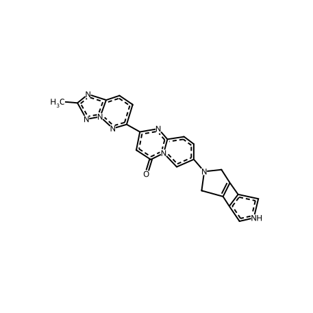 Cc1nc2ccc(-c3cc(=O)n4cc(N5CC6=C(C5)c5c[nH]cc56)ccc4n3)nn2n1